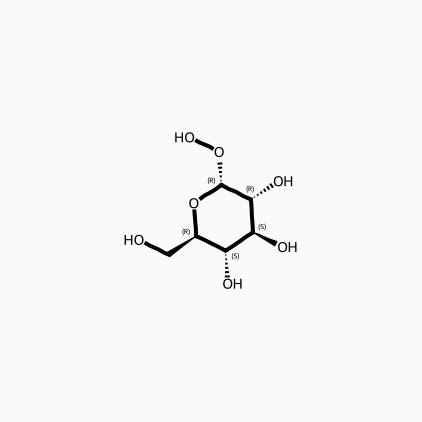 OC[C@H]1O[C@H](OO)[C@H](O)[C@@H](O)[C@@H]1O